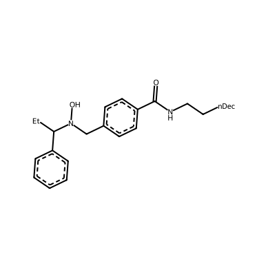 CCCCCCCCCCCCNC(=O)c1ccc(CN(O)C(CC)c2ccccc2)cc1